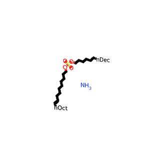 CCCCCCCCC=CCCCCCCCCOS(=O)(=O)OCCCCCCCCCCCCCCCC.N